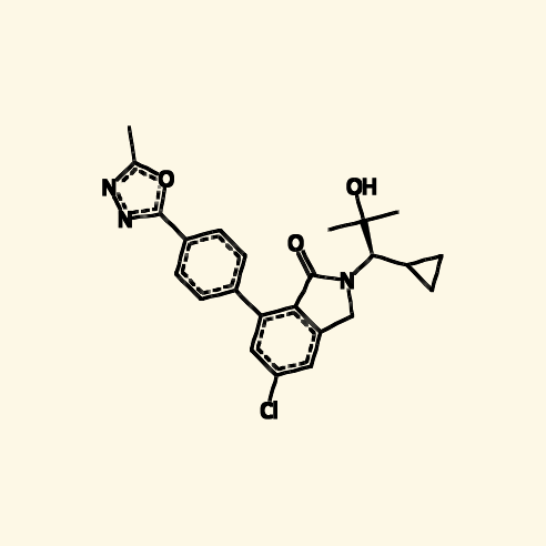 Cc1nnc(-c2ccc(-c3cc(Cl)cc4c3C(=O)N([C@H](C3CC3)C(C)(C)O)C4)cc2)o1